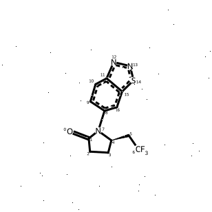 O=C1CC[C@H](CC(F)(F)F)N1c1ccc2nnsc2c1